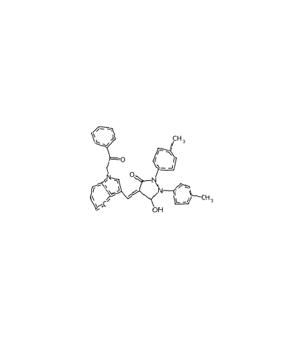 Cc1ccc(N2C(=O)/C(=C\c3cn(CC(=O)c4ccccc4)c4ccccc34)C(O)N2c2ccc(C)cc2)cc1